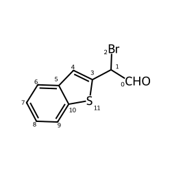 O=CC(Br)c1cc2ccccc2s1